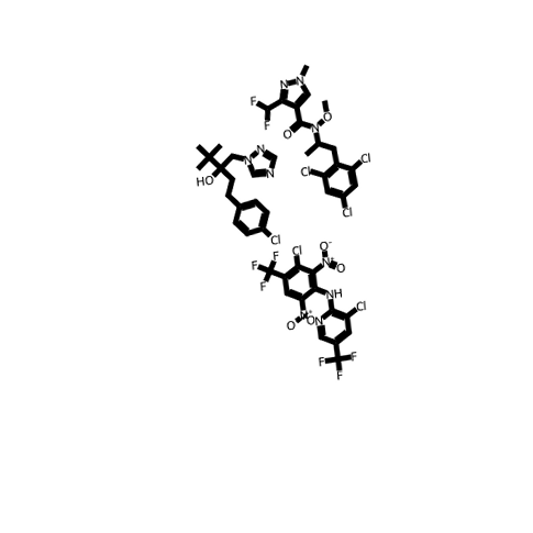 CC(C)(C)C(O)(CCc1ccc(Cl)cc1)Cn1cncn1.CON(C(=O)c1cn(C)nc1C(F)F)C(C)Cc1c(Cl)cc(Cl)cc1Cl.O=[N+]([O-])c1cc(C(F)(F)F)c(Cl)c([N+](=O)[O-])c1Nc1ncc(C(F)(F)F)cc1Cl